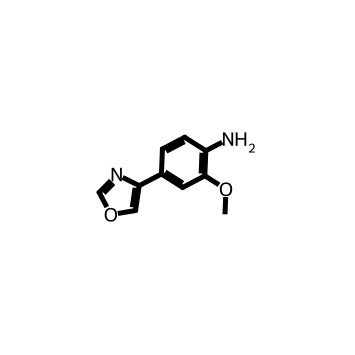 COc1cc(-c2cocn2)ccc1N